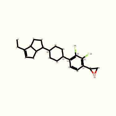 CCC1=CCC2C1CCC2C1CCC(c2ccc(C3CO3)c(F)c2F)CC1